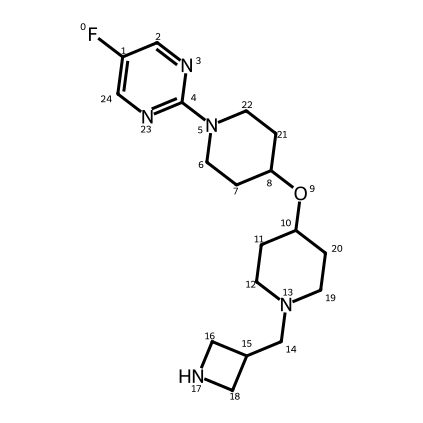 Fc1cnc(N2CCC(OC3CCN(CC4CNC4)CC3)CC2)nc1